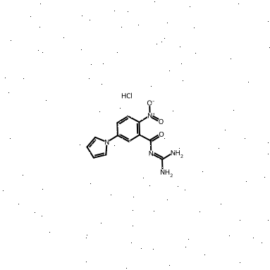 Cl.NC(N)=NC(=O)c1cc(-n2cccc2)ccc1[N+](=O)[O-]